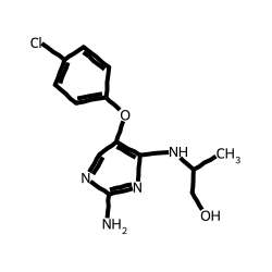 CC(CO)Nc1nc(N)ncc1Oc1ccc(Cl)cc1